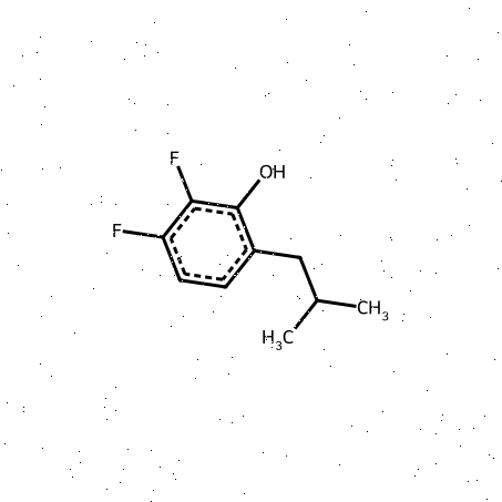 CC(C)Cc1ccc(F)c(F)c1O